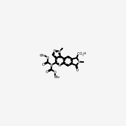 CN1C(=O)c2cc3nc(N(C(=O)OC(C)(C)C)C(=O)OC(C)(C)C)c4cnn(C)c4c3cc2C1C(=O)O